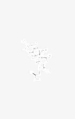 COC(=O)CC[C@@H](C)[C@H]1C[C@H](O)[C@H]2[C@@H]3[C@H](O)C[C@@H]4C[C@H](O)CC[C@]4(C)[C@H]3CC[C@@]21C